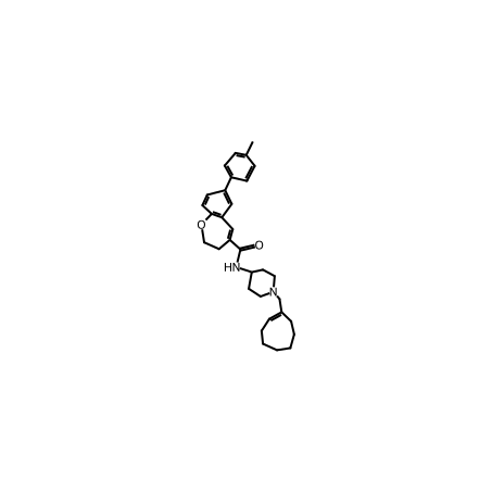 Cc1ccc(-c2ccc3c(c2)C=C(C(=O)NC2CCN(C/C4=C/CCCCCC4)CC2)CCO3)cc1